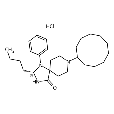 CCCC[C@H]1NC(=O)C2(CCN(C3CCCCCCCCC3)CC2)N1c1ccccc1.Cl